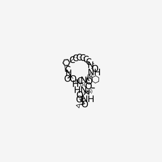 C=C[C@@H]1C[C@]1(NC(=O)[C@@H]1C[C@@H]2CN1C(=O)[C@H](C1CCCCC1)NC(=O)N(C)CCCCCCc1cccc3c1CN(C3)C(=O)O2)C(=O)NS(=O)(=O)C1CC1